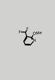 COc1ncccc1C(F)F